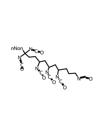 CCCCCCCCCC(CCC(CC(CC(CCCN=C=O)N=C=O)N=C=O)N=C=O)(N=C=O)N=C=O